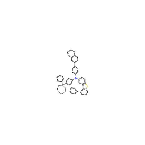 c1ccc(-c2cccc3sc4ccc(N(c5ccc(-c6ccc7ccccc7c6)cc5)c5ccc(C6(c7ccccc7)CCCCCC6)cc5)cc4c23)cc1